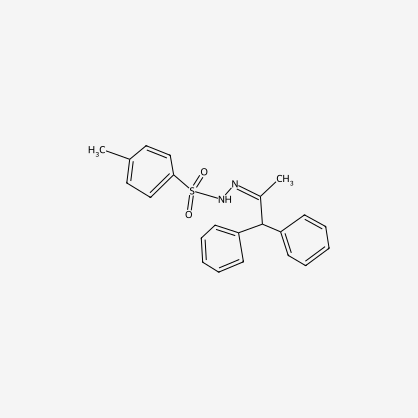 CC(=NNS(=O)(=O)c1ccc(C)cc1)C(c1ccccc1)c1ccccc1